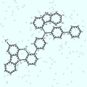 Fc1cc2c3c(c1)c1ccccc1n3-c1cccc(-c3ccc(N(c4ccc(-c5ccccc5)cc4)c4cccc5sc6ccccc6c45)cc3)c1O2